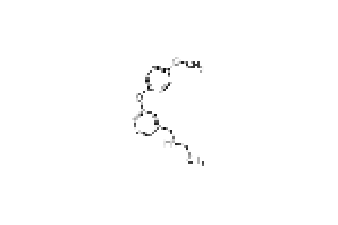 CCNCc1cccc(Oc2ccc(OC)cc2)c1